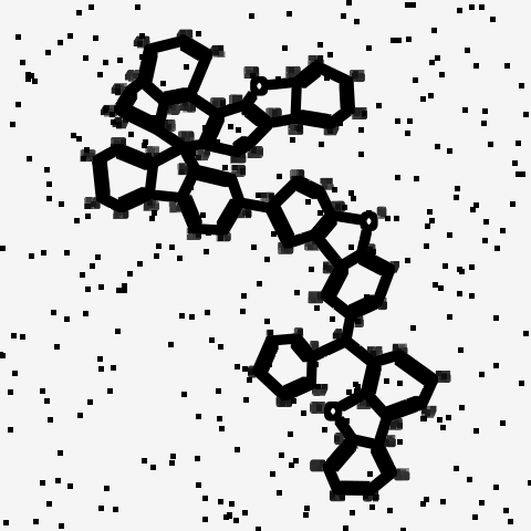 c1ccc(C(c2ccc3oc4ccc(-c5ccc6c(c5)C5(c7ccccc7-6)c6ccc7c(oc8ccccc87)c6-c6cccc7cccc5c67)cc4c3c2)c2cccc3c2oc2ccccc23)cc1